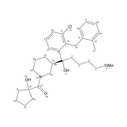 COCCCCC(O)(c1cccc(Cl)c1Cc1ccccc1C)[C@@H]1CCCN(C(=O)C2(O)CCCC2)C1